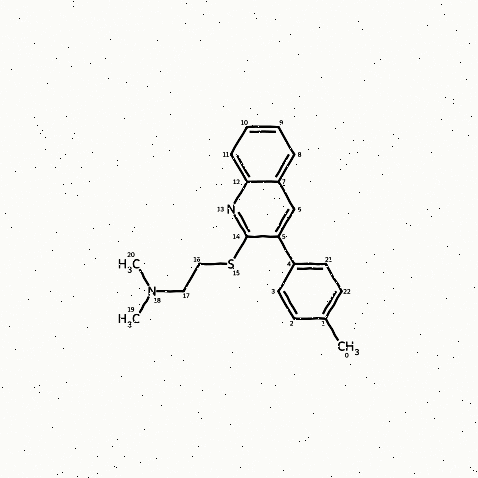 Cc1ccc(-c2cc3ccccc3nc2SCCN(C)C)cc1